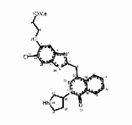 COCCOc1cc2nc(Cc3nn(C4CCNC4)c(=O)c4ccccc34)[nH]c2cc1Cl